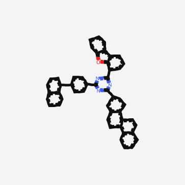 c1ccc2c(-c3ccc(-c4nc(-c5ccc6c(ccc7c8ccccc8ccc67)c5)nc(-c5cccc6c5oc5ccccc56)n4)cc3)cccc2c1